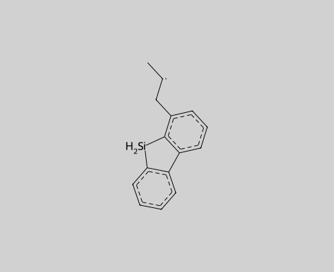 C[CH]Cc1cccc2c1[SiH2]c1ccccc1-2